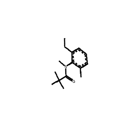 CCc1cccc(C)c1N(C)C(=O)C(C)(C)C